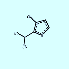 CCC(C#N)c1sccc1Cl